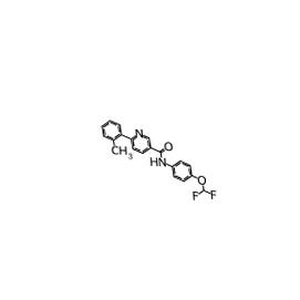 Cc1ccccc1-c1ccc(C(=O)Nc2ccc(OC(F)F)cc2)cn1